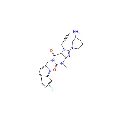 CC#CCn1c(N2CCCC(N)C2)nc2c1c(=O)n(Cc1ccc3ccc(F)cc3n1)c(=O)n2C